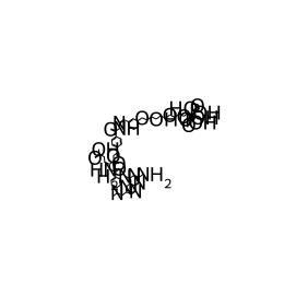 CN(Cc1cnc2nc(N)nc(N)c2n1)c1ccc(C(=O)NC(CCC(=O)O)C(=O)OCc2ccc(C(=O)N/N=C\c3cccc(OCCOCCOCCOCC(O)(P(=O)(O)O)P(=O)(O)O)c3)cc2)cc1